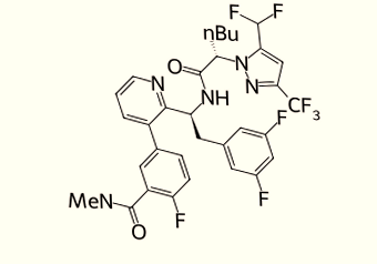 CCCC[C@@H](C(=O)N[C@@H](Cc1cc(F)cc(F)c1)c1ncccc1-c1ccc(F)c(C(=O)NC)c1)n1nc(C(F)(F)F)cc1C(F)F